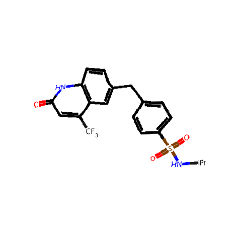 CC(C)NS(=O)(=O)c1ccc(Cc2ccc3[nH]c(=O)cc(C(F)(F)F)c3c2)cc1